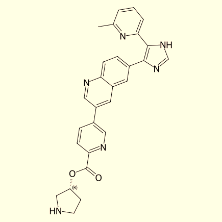 Cc1cccc(-c2[nH]cnc2-c2ccc3ncc(-c4ccc(C(=O)O[C@@H]5CCNC5)nc4)cc3c2)n1